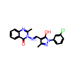 Cc1nn(-c2cccc(Cl)c2)c(O)c1/C=N/n1c(C)nc2ccccc2c1=O